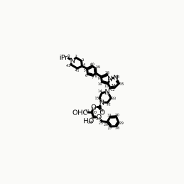 CC(C)N1CCC(c2ccc(-c3cc4c(N5CCN(C(=O)OC(C=O)[C@@H](O)OCc6ccccc6)CC5)ccnn4c3)cc2)CC1